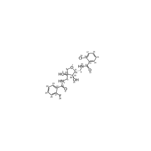 O=C(NC[C@]1(O)CO[C@H](CNC(=O)c2ccccc2Cl)[C@H]1O)c1ccccc1F